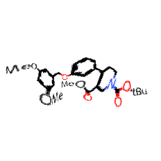 COC(=O)C1=C(c2cccc(OCc3cc(OC)cc(OC)c3)c2)CCN(C(=O)OC(C)(C)C)C1